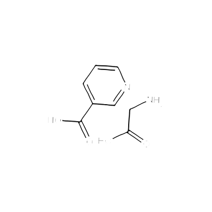 NCC(=O)O.O=C(O)c1cccnc1